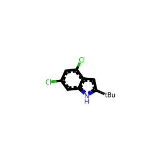 CC(C)(C)c1cc2c(Cl)cc(Cl)cc2[nH]1